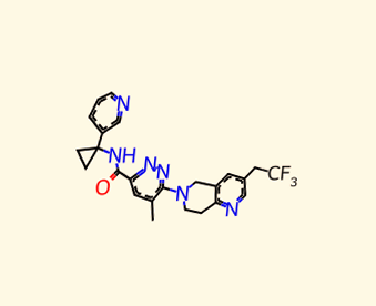 Cc1cc(C(=O)NC2(c3cccnc3)CC2)nnc1N1CCc2ncc(CC(F)(F)F)cc2C1